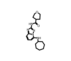 O=C(Nc1nc2cccc(NC3CCCCCC3)n2n1)C1CCOCC1